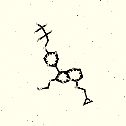 CCSc1nn2c(NCC3CC3)ccnc2c1-c1cnc(OCC(F)(F)C(F)(F)F)cn1